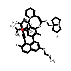 COCOc1cc(-c2cc3c4c(c2F)OC(OC[C@@]25CCCN2C[C@H](F)C5)=CC2=CCCCN2C4NCN3)c2c(C#C[Si](C(C)C)(C(C)C)C(C)C)c(F)ccc2c1